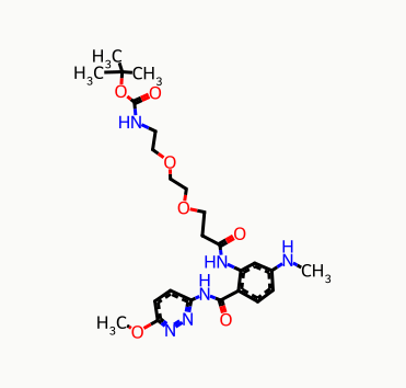 CNc1ccc(C(=O)Nc2ccc(OC)nn2)c(NC(=O)CCOCCOCCNC(=O)OC(C)(C)C)c1